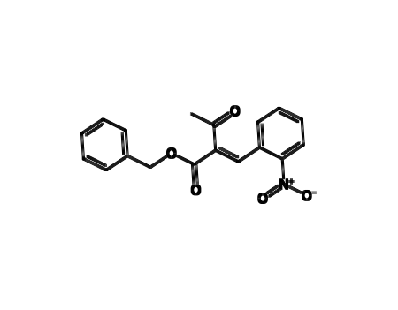 CC(=O)/C(=C\c1ccccc1[N+](=O)[O-])C(=O)OCc1ccccc1